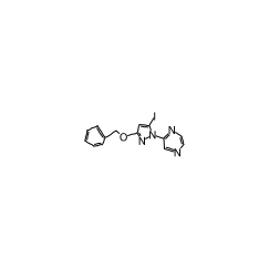 Ic1cc(OCc2ccccc2)nn1-c1cnccn1